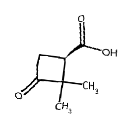 CC1(C)C(=O)C[C@H]1C(=O)O